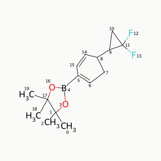 CC1(C)OB(C2=CCC(C3CC3(F)F)C=C2)OC1(C)C